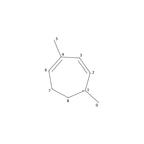 C[C]1C=CC(C)=CCC1